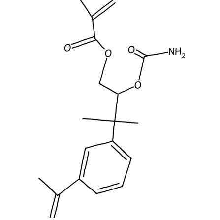 C=C(C)C(=O)OCC(OC(N)=O)C(C)(C)c1cccc(C(=C)C)c1